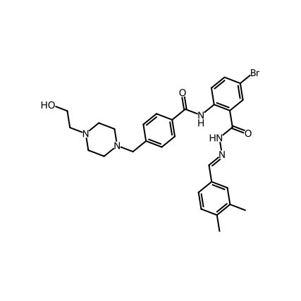 Cc1ccc(C=NNC(=O)c2cc(Br)ccc2NC(=O)c2ccc(CN3CCN(CCO)CC3)cc2)cc1C